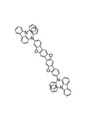 c1ccc(N(c2ccc3c(c2)oc2cc4c(cc23)oc2cc3c(cc24)oc2cc(N(c4ccccc4)c4cccc5c6ccccc6n(-c6ccccc6)c45)ccc23)c2cccc3c4ccccc4n(-c4ccccc4)c23)cc1